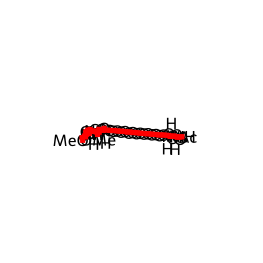 COc1ccc(CNC(=O)C(=O)[C@@H]2CCCN2C(=O)CNC(=O)c2ccnc3cc(OCC(=O)NCCOCCOCCOCCOCCOCCOCCOCCOCCOCCOCCOCCOCCOCCOCCOCCNC(=O)CNC(=O)CNC(=O)CNC(=O)CSC(C)=O)ccc23)cc1OC